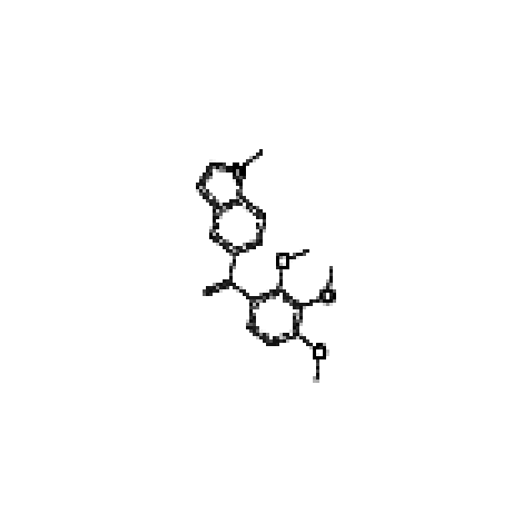 C=C(c1ccc2c(ccn2C)c1)c1ccc(OC)c(OC)c1OC